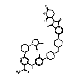 CN1CCN([C@@H]2CCCN(c3nnc(C(N)=O)c(Nc4ccc(N5CCN(CC6CCN(c7ccc8c(c7)C(=O)N(C7CCC(=O)NC7=O)C8=O)CC6)CC5)c(F)c4)n3)C2)C1=O